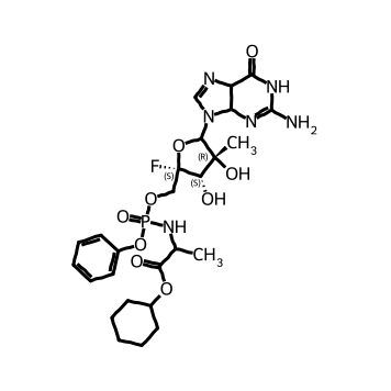 CC(NP(=O)(OC[C@@]1(F)OC(N2C=NC3C(=O)NC(N)=NC32)[C@](C)(O)[C@@H]1O)Oc1ccccc1)C(=O)OC1CCCCC1